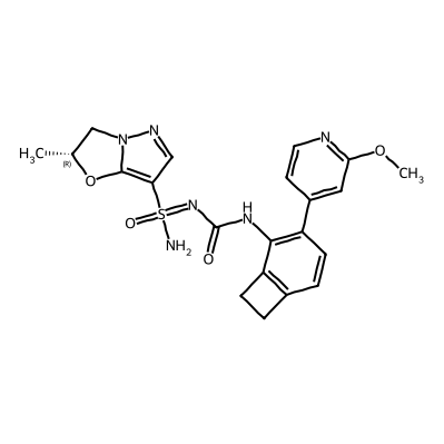 COc1cc(-c2ccc3c(c2NC(=O)N=S(N)(=O)c2cnn4c2O[C@H](C)C4)CC3)ccn1